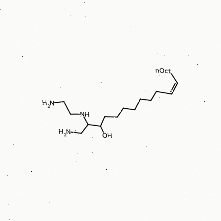 CCCCCCCC/C=C\CCCCCCCC(O)C(CN)NCCN